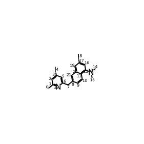 Cc1cc(I)cc(Cc2ccc3c(N(C)C)cc(I)cc3c2)n1